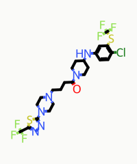 O=C(CCCN1CCN(c2nnc(C(F)(F)F)s2)CC1)N1CCC(Nc2ccc(Cl)c(SC(F)(F)F)c2)CC1